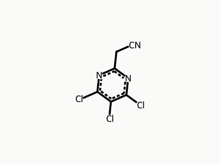 N#CCc1nc(Cl)c(Cl)c(Cl)n1